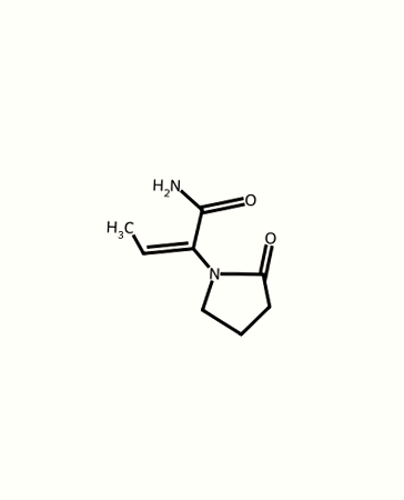 CC=C(C(N)=O)N1CCCC1=O